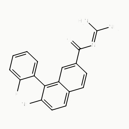 N#Cc1ccc2ccc(C(=O)N=C(N)N)cc2c1-c1ccccc1F